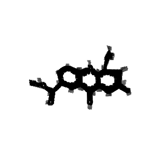 COC(=O)c1ccc2oc3c(C(C)=O)cc(C)cc3c(=O)c2c1